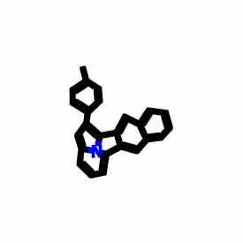 Cc1ccc(-c2cc3cccc4c5cc6ccccc6cc5c2n34)cc1